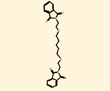 O=C1c2ccccc2C(=O)N1CCOCCCCCOCCN1C(=O)c2ccccc2C1=O